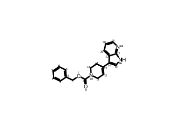 O=C(OCc1ccccc1)N1CC=C(c2c[nH]c3ncccc23)CC1